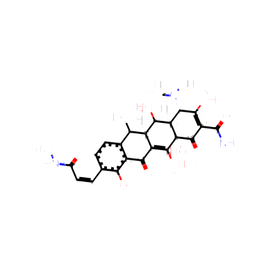 CC1c2ccc(/C=C\C(=O)NC(C)(C)C)c(O)c2C(=O)C2=C(O)[C@]3(O)C(=O)C(C(N)=O)=C(O)[C@@H](N(C)C)[C@@H]3C(O)[C@@H]21